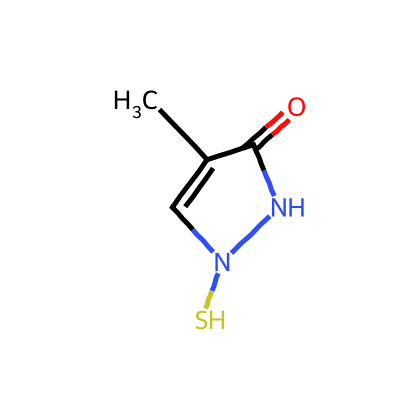 Cc1cn(S)[nH]c1=O